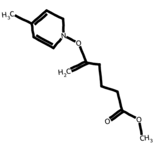 C=C(CCCC(=O)OC)ON1C=CC(C)=CC1